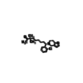 CC(=O)C(C)(C)CCCCCC(c1ccccc1Cl)N1CCc2occc2C1